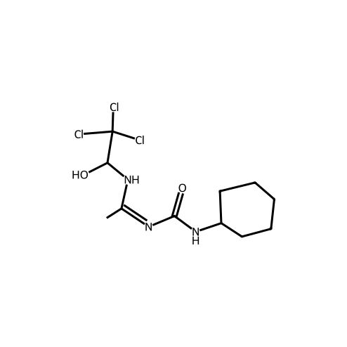 CC(=NC(=O)NC1CCCCC1)NC(O)C(Cl)(Cl)Cl